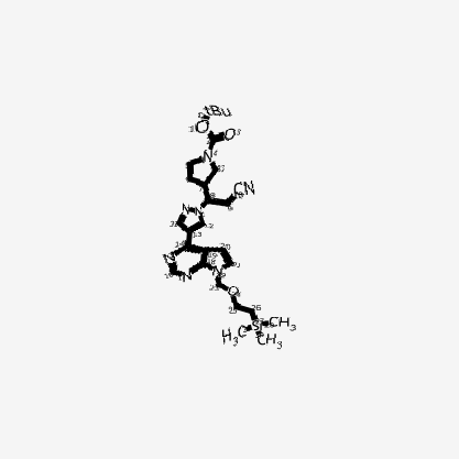 CC(C)(C)OC(=O)N1CCC(C(CC#N)n2cc(-c3ncnc4c3ccn4COCC[Si](C)(C)C)cn2)C1